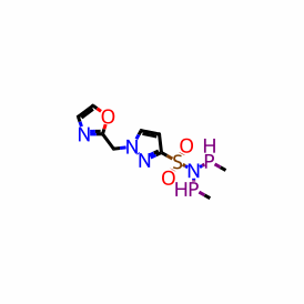 CPN(PC)S(=O)(=O)c1ccn(Cc2ncco2)n1